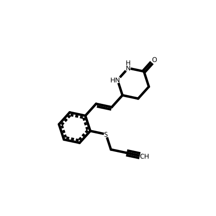 C#CCSc1ccccc1/C=C/C1CCC(=O)NN1